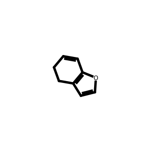 C1=Cc2occc2CC1